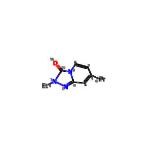 CCn1nc2cc(C(C)C)ccn2c1=O